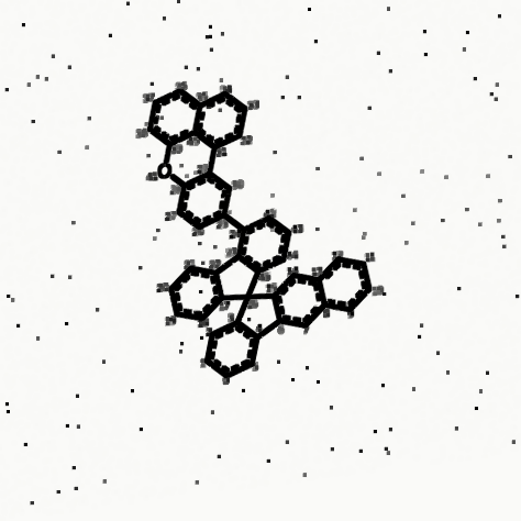 c1ccc2c(c1)-c1cc3ccccc3cc1C21c2ccccc2-c2c(-c3ccc4c(c3)-c3cccc5cccc(c35)O4)cccc21